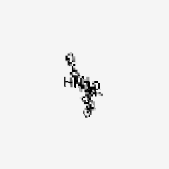 CCCn1c(=O)c2cnc(Nc3ccc(N4CCOCC4)cc3)nc2n1-c1cccc(N=S(C)(C)=O)n1